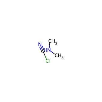 CNC.N#CCl